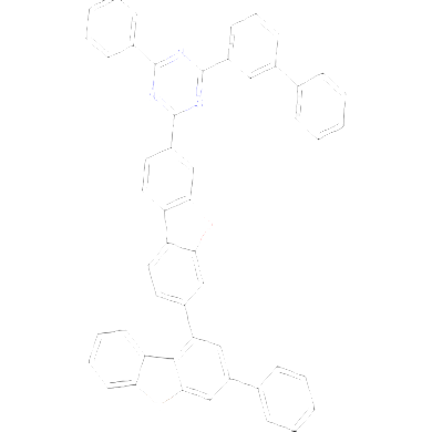 c1ccc(-c2cccc(-c3nc(-c4ccccc4)nc(-c4ccc5c(c4)oc4cc(-c6cc(-c7ccccc7)cc7sc8ccccc8c67)ccc45)n3)c2)cc1